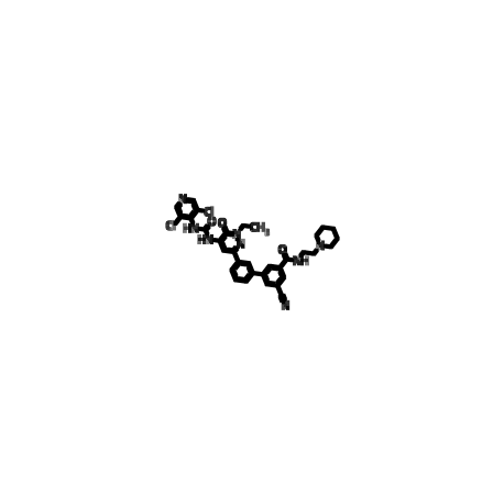 CCn1nc(-c2cccc(-c3cc(C#N)cc(C(=O)NCCN4CCCCC4)c3)c2)cc(NC(=O)Nc2c(Cl)cncc2Cl)c1=O